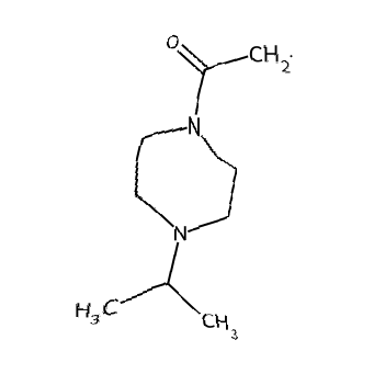 [CH2]C(=O)N1CCN(C(C)C)CC1